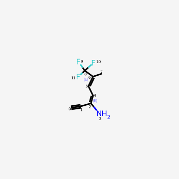 C#C/C(N)=C\C=C(/C)C(F)(F)F